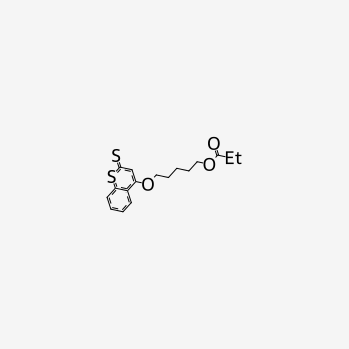 CCC(=O)OCCCCCOc1cc(=S)sc2ccccc12